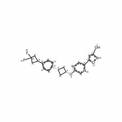 Oc1cc(-c2cnc(O[C@H]3C[C@@H](c4ccc(C5CC(F)(F)C5)cc4)C3)cn2)on1